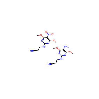 COc1nc(NCCC#N)nc(OC)c1N.COc1nc(NCCC#N)nc(OC)c1[N+](=O)[O-]